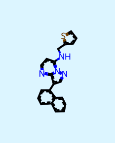 c1csc(CNc2ccnc3c(-c4cccc5ccccc45)cnn23)c1